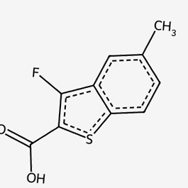 Cc1ccc2sc(C(=O)O)c(F)c2c1